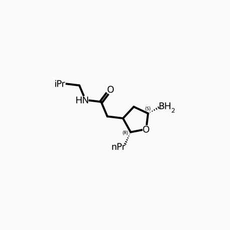 B[C@H]1CC(CC(=O)NCC(C)C)[C@@H](CCC)O1